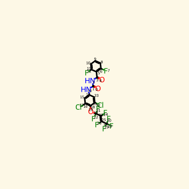 O=C(NC(=O)c1c(F)cccc1F)Nc1cc(Cl)c(OC(F)(F)/C(F)=C(\F)C(F)(F)F)c(Cl)c1